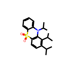 CC(C)c1ccc2c(c1C(C)C)N(C(C)C)c1ccccc1S2(=O)=O